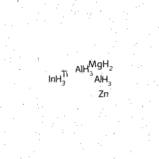 [AlH3].[AlH3].[InH3].[MgH2].[Ti].[Zn]